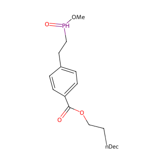 CCCCCCCCCCCCOC(=O)c1ccc(CC[PH](=O)OC)cc1